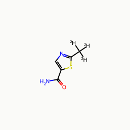 [2H]C([2H])([2H])c1ncc(C(N)=O)s1